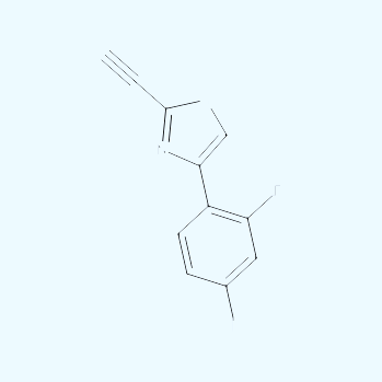 C#Cc1nc(-c2ccc(F)cc2F)cs1